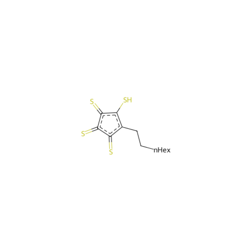 CCCCCCCCc1c(S)c(=S)c(=S)c1=S